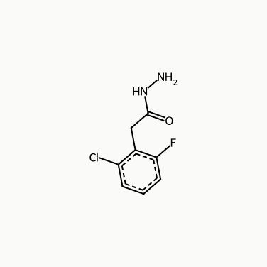 NNC(=O)Cc1c(F)cccc1Cl